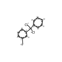 Fc1cccc(C(Cl)(Cl)c2ccccc2)c1